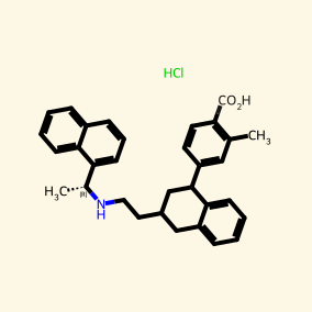 Cc1cc(C2CC(CCN[C@H](C)c3cccc4ccccc34)Cc3ccccc32)ccc1C(=O)O.Cl